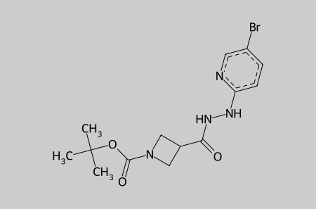 CC(C)(C)OC(=O)N1CC(C(=O)NNc2ccc(Br)cn2)C1